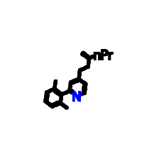 C=C(CCC)CCc1ccnc(-c2c(C)cccc2C)c1